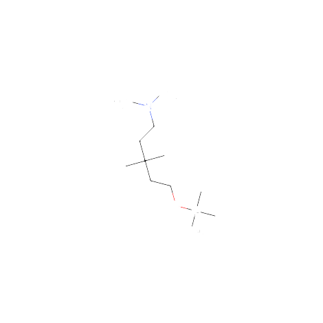 CC(C)(CCO[Si](C)(C)C(C)(C)C)CCN(C(=O)O)C(=O)O